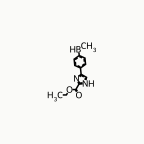 CBc1ccc(-c2c[nH]c(C(=O)OCC)n2)cc1